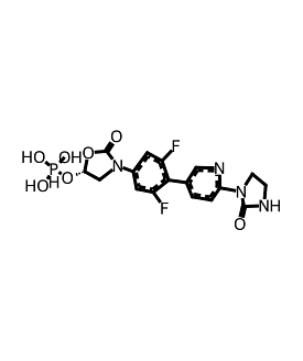 O=C1O[C@@H](O[PH](O)(O)O)CN1c1cc(F)c(-c2ccc(N3CCNC3=O)nc2)c(F)c1